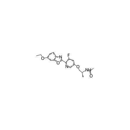 CCOc1ccc2nc(-c3ncc(OC[C@H](C)NC(C)=O)cc3F)oc2c1